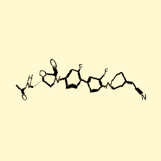 CC(=O)NC[C@H]1CN(c2ccc(-c3ccc(N4CCC(=CC#N)CC4)c(F)c3)c(F)c2)C(=O)O1